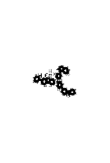 CC1(C)c2cc(-c3ccccc3)ccc2-c2ccc(N(c3ccc(-c4ccc5oc6ccccc6c5c4)cc3)c3ccc(-c4cccc5ccccc45)cc3)cc21